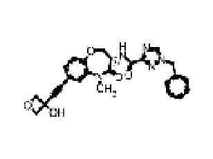 CN1C(=O)[C@@H](NC(=O)c2ncn(Cc3ccccc3)n2)COc2ccc(C#CC3(O)COC3)cc21